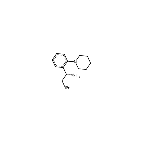 CC(C)C[C@@H](N)c1ccccc1N1CCCCC1